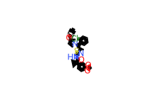 CC(C)(C)[Si](C)(C)O[C@@H]1CCN([C@@H](c2cnc(NC(=O)C3(c4ccc5c(c4)OCO5)CC3)s2)c2ccccc2Cl)C1